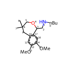 CCCCNCC1OCC(C)(C)Cc2cc(OC)c(OC)cc21